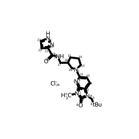 Cn1c2c(n(CC(C)(C)C)c1=O)=CC=C(N1CCCC(CNC(=O)c3cc[nH]n3)C1)[N+]=2.[Cl-]